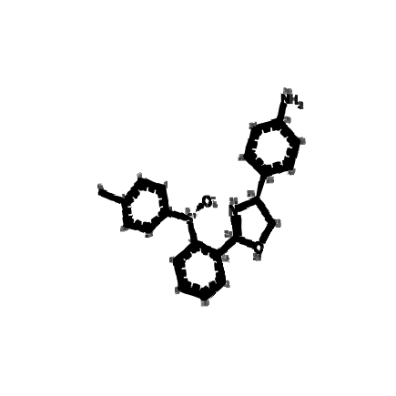 Cc1ccc([S@+]([O-])c2ccccc2C2=N[C@@H](c3ccc(N)cc3)CO2)cc1